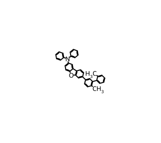 Cc1ccccc1-c1cc(-c2ccc3c(c2)oc2ccc(N(c4ccccc4)c4ccccc4)cc23)ccc1C